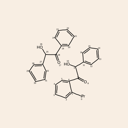 CC(C)c1ccccc1C(=O)C(O)c1ccccc1.O=C(c1ccccc1)C(O)c1ccccc1